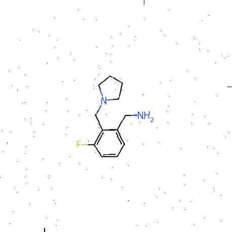 NCc1cccc(F)c1CN1CCCC1